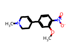 COc1cc(C2=CCN(C)CC2)ccc1[N+](=O)[O-]